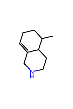 CC1CCC=C2CNCCC21